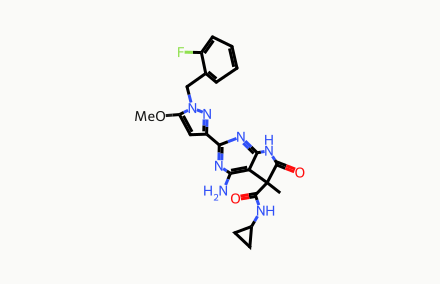 COc1cc(-c2nc(N)c3c(n2)NC(=O)C3(C)C(=O)NC2CC2)nn1Cc1ccccc1F